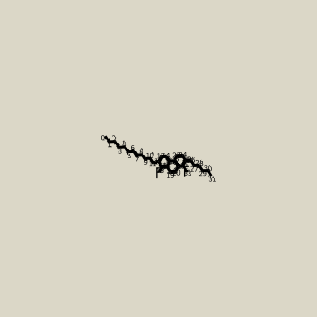 CCCCCCCCCCCCc1ccc2c(c1F)CCc1c-2ccc(CCCCCC)c1F